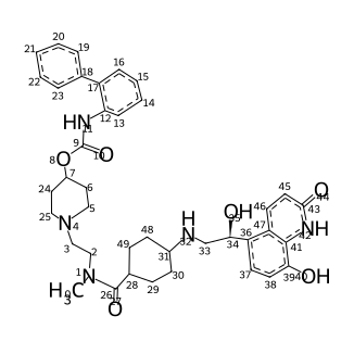 CN(CCN1CCC(OC(=O)Nc2ccccc2-c2ccccc2)CC1)C(=O)C1CCC(NC[C@@H](O)c2ccc(O)c3[nH]c(=O)ccc23)CC1